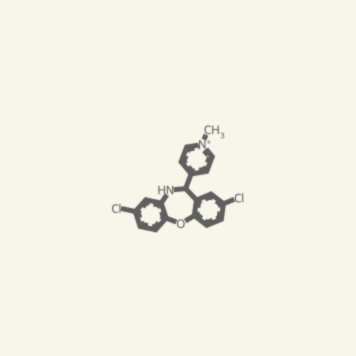 C[n+]1ccc(C2Nc3cc(Cl)ccc3Oc3ccc(Cl)cc32)cc1